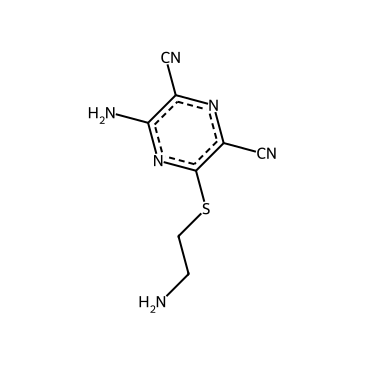 N#Cc1nc(C#N)c(SCCN)nc1N